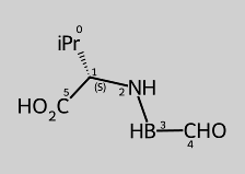 CC(C)[C@H](NBC=O)C(=O)O